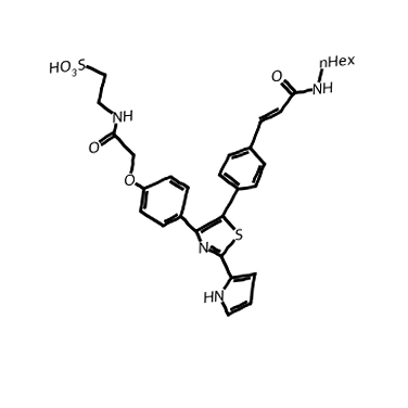 CCCCCCNC(=O)/C=C/c1ccc(-c2sc(-c3ccc[nH]3)nc2-c2ccc(OCC(=O)NCCS(=O)(=O)O)cc2)cc1